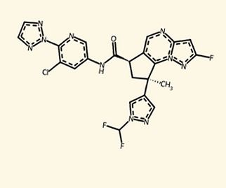 C[C@]1(c2cnn(C(F)F)c2)C[C@@H](C(=O)Nc2cnc(-n3nccn3)c(Cl)c2)c2cnc3cc(F)nn3c21